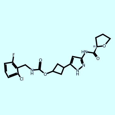 O=C(NCc1c(F)cccc1Cl)OC1CC(c2cc(NC(=O)[C@H]3CCCO3)n[nH]2)C1